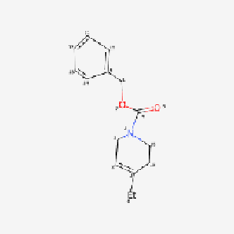 CCC1=CCN(C(=O)OCc2ccccc2)CC1